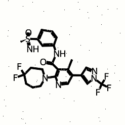 Cc1c(-c2cnn(C(F)(F)F)c2)cnc(N2CCCC(F)(F)CC2)c1C(=O)Nc1cccc([S@](C)(=N)=O)c1